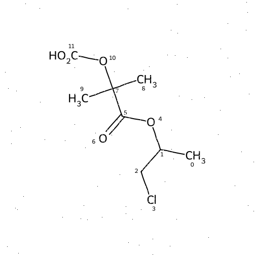 CC(CCl)OC(=O)C(C)(C)OC(=O)O